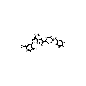 CC1=CN(c2cc(Cl)ccc2Cl)NC1CC(=O)N1CCN(Cc2ccccc2)CC1